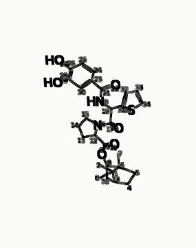 CC1(C)C2CCC1(C)C(OC(=O)C1CCCN1C(=O)C(NC(=O)c1ccc(O)c(O)c1)c1cccs1)C2